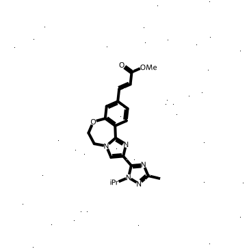 COC(=O)/C=C/c1ccc2c(c1)OCCn1cc(-c3nc(C)nn3C(C)C)nc1-2